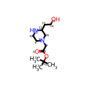 CC(C)(C)OC(=O)CN1CCNC(CCO)C1